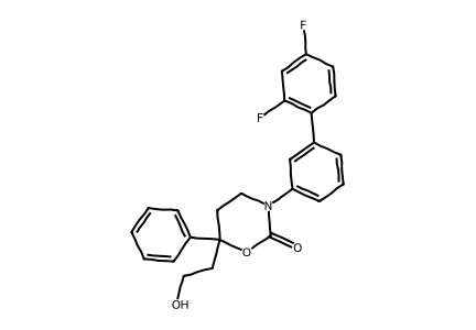 O=C1OC(CCO)(c2ccccc2)CCN1c1cccc(-c2ccc(F)cc2F)c1